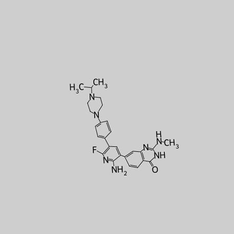 CNc1nc2cc(-c3cc(-c4ccc(N5CCN(C(C)C)CC5)cc4)c(F)nc3N)ccc2c(=O)[nH]1